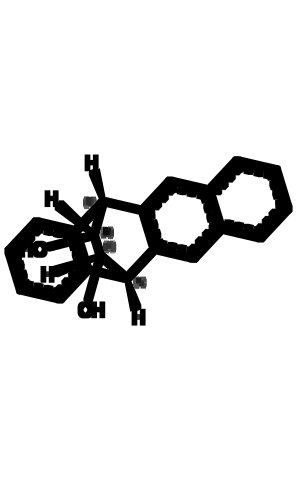 O[C@@H]1[C@@H]2c3ccccc3[C@@H](c3cc4ccccc4cc32)[C@@H]1O